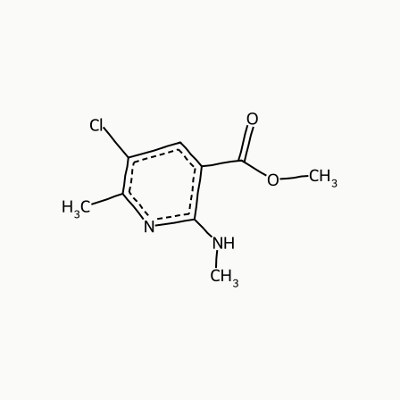 CNc1nc(C)c(Cl)cc1C(=O)OC